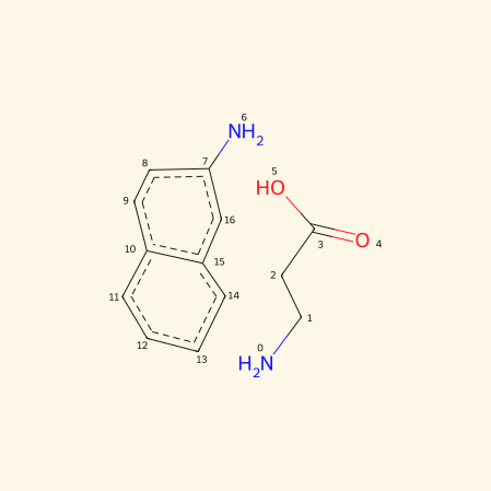 NCCC(=O)O.Nc1ccc2ccccc2c1